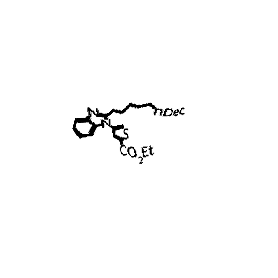 CCCCCCCCCCCCCCCc1nc2ccccc2n1-c1csc(C(=O)OCC)c1